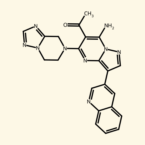 CC(=O)c1c(N2CCn3ncnc3C2)nc2c(-c3cnc4ccccc4c3)cnn2c1N